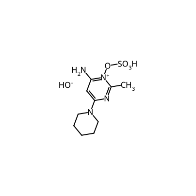 Cc1nc(N2CCCCC2)cc(N)[n+]1OS(=O)(=O)O.[OH-]